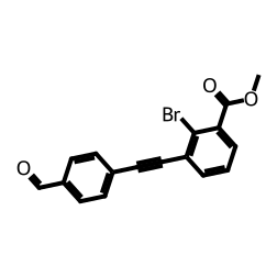 COC(=O)c1cccc(C#Cc2ccc(C=O)cc2)c1Br